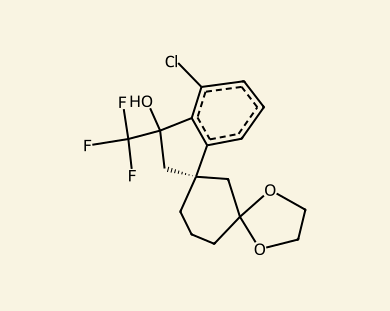 OC1(C(F)(F)F)C[C@]2(CCCC3(C2)OCCO3)c2cccc(Cl)c21